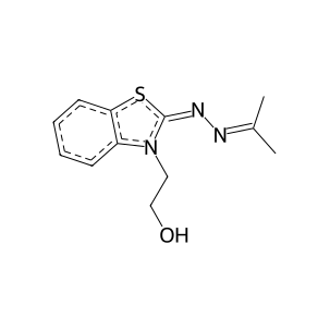 CC(C)=NN=c1sc2ccccc2n1CCO